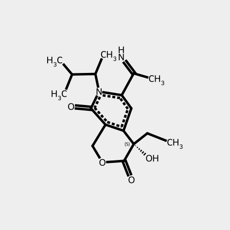 CC[C@@]1(O)C(=O)OCc2c1cc(C(C)=N)n(C(C)C(C)C)c2=O